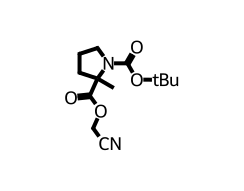 CC(C)(C)OC(=O)N1CCCC1(C)C(=O)OCC#N